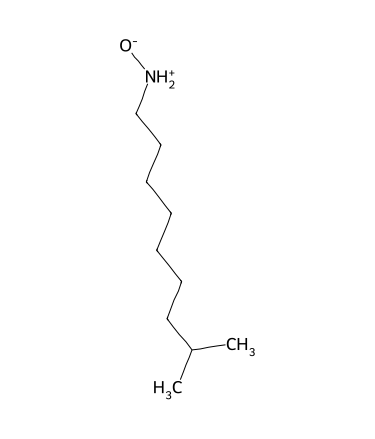 CC(C)CCCCCCC[NH2+][O-]